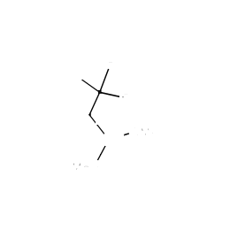 CO[SiH](CC(F)(F)F)OC